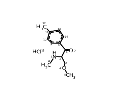 CNC(COC)C(=O)c1ccc(C)cc1.Cl